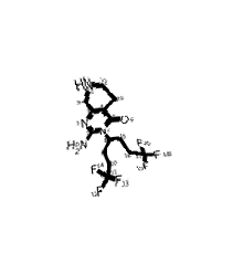 Nc1nc2c(c(=O)n1C(CCC(F)(F)F)CCC(F)(F)F)CCNC2